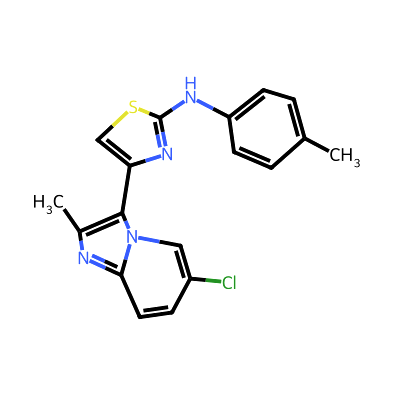 Cc1ccc(Nc2nc(-c3c(C)nc4ccc(Cl)cn34)cs2)cc1